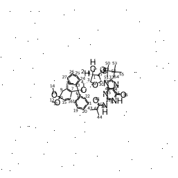 [2H][C@@]1(O)[C@@H](COC(C2=CCC(OC)(OC)C=C2)(c2ccccc2)c2ccccc2)O[C@@H](n2cnc3c(=O)[nH]c(NC(=O)C(C)C)nc32)[C@@H]1O[Si](C)(C)C(C)(C)C